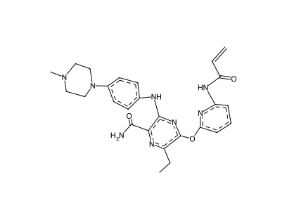 C=CC(=O)Nc1cccc(Oc2nc(Nc3ccc(N4CCN(C)CC4)cc3)c(C(N)=O)nc2CC)n1